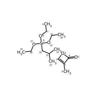 CC1=COC1=O.CCO[Si](CC(C)C)(OCC)OCC